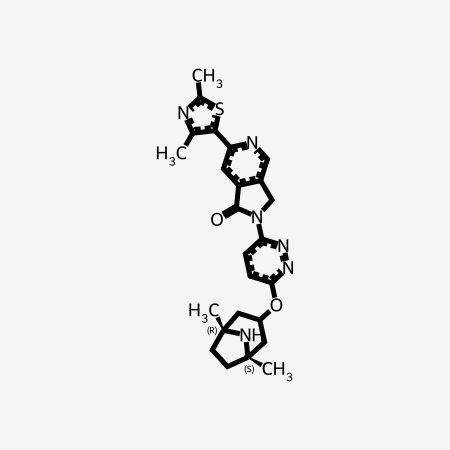 Cc1nc(C)c(-c2cc3c(cn2)CN(c2ccc(OC4C[C@]5(C)CC[C@](C)(C4)N5)nn2)C3=O)s1